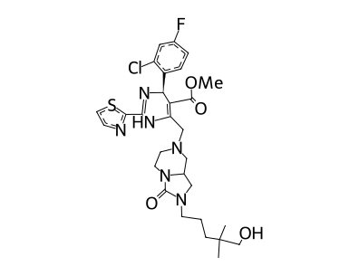 COC(=O)C1=C(CN2CCN3C(=O)N(CCCC(C)(C)CO)CC3C2)NC(c2nccs2)=N[C@H]1c1ccc(F)cc1Cl